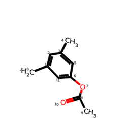 [CH2]c1cc(C)cc(OC(C)=O)c1